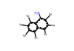 [2H]c1c([2H])c([2H])c2c(N)c([2H])c([2H])c([2H])c2c1[2H]